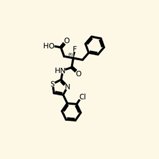 O=C(O)C[C@](F)(Cc1ccccc1)C(=O)Nc1nc(-c2ccccc2Cl)cs1